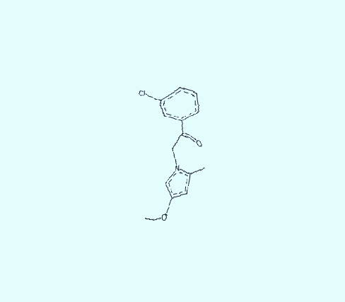 COc1cc(C)n(CC(=O)c2cccc(Cl)c2)c1